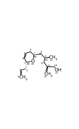 C=CC[C@@H]1C=CC[C@@H](C[C@@H](C)CC(=C)CO)O1